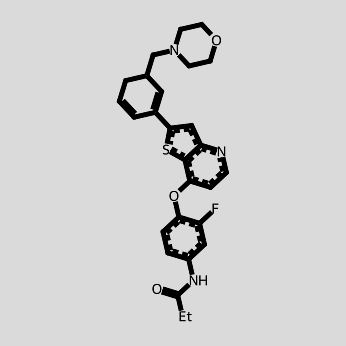 CCC(=O)Nc1ccc(Oc2ccnc3cc(C4=CC(CN5CCOCC5)CC=C4)sc23)c(F)c1